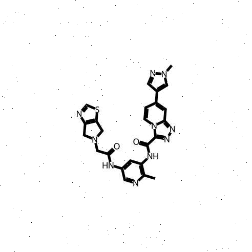 Cc1ncc(NC(=O)CN2Cc3ncsc3C2)cc1NC(=O)c1nnc2cc(-c3cnn(C)c3)ccn12